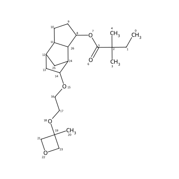 CCC(C)(C)C(=O)OC1CCC2C3CC(OCCOC4(C)COC4)C(C3)C12